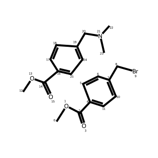 COC(=O)c1ccc(CBr)cc1.COC(=O)c1ccc(CN(C)C)cc1